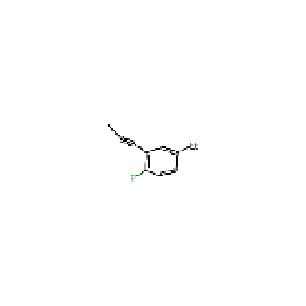 CC#Cc1cc(CC)ccc1F